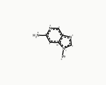 CC(C)n1cnc2cnc(N)cc21